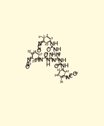 Cc1ccc(NC(=O)Nc2nc(NC(=O)Nc3ccc(C)c(N=C=O)c3)nc(NC(=O)Nc3ccc(C)c(N=C=O)c3)n2)cc1N=C=O